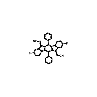 N#C/N=c1\c2cc(F)ccc2c2c(-c3ccccc3)c3/c(=N/C#N)c4cc(F)ccc4c3c(-c3ccccc3)c12